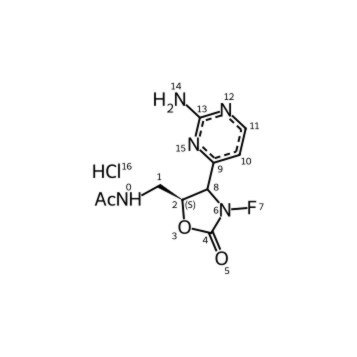 CC(=O)NC[C@@H]1OC(=O)N(F)C1c1ccnc(N)n1.Cl